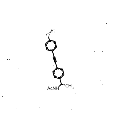 CCOc1ccc(C#Cc2ccc(C(C)NC(C)=O)cc2)cc1